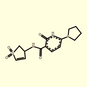 O=C(NC1C=CS(=O)(=O)C1)c1ccc(N2CCCC2)[nH]c1=O